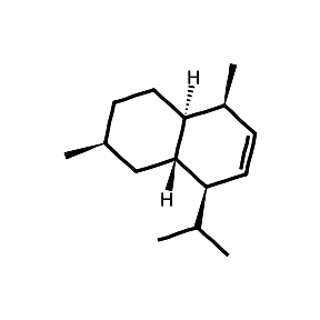 CC(C)[C@@H]1C=C[C@H](C)[C@@H]2CC[C@H](C)C[C@H]21